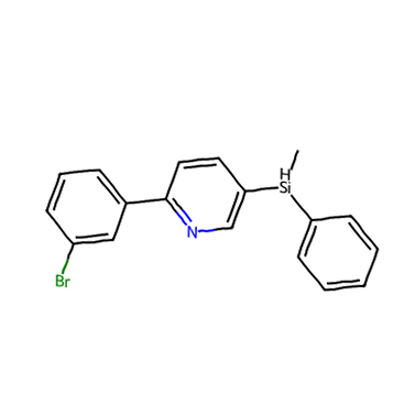 C[SiH](c1ccccc1)c1ccc(-c2cccc(Br)c2)nc1